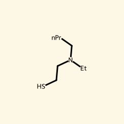 CCCCN(CC)CCS